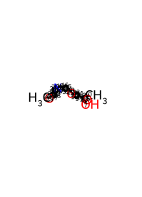 CC=CC(CC(=O)O)c1ccc(OCc2ccc(CN3CCc4cc(OC)ccc4C3)cc2)cc1